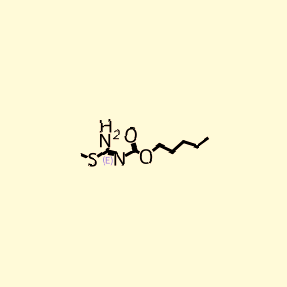 CCCCCOC(=O)/N=C(\N)SC